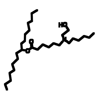 CCCCCCCCC(CCCCCCCC)OC(=O)CCCCCN(CCO)CCCCCC